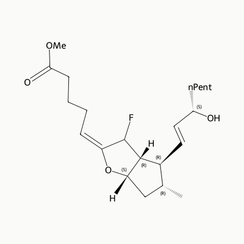 CCCCC[C@H](O)C=C[C@@H]1[C@H]2C(F)C(=CCCCC(=O)OC)O[C@H]2C[C@H]1C